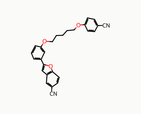 N#Cc1ccc(OCCCCCOc2cccc(-c3cc4cc(C#N)ccc4o3)c2)cc1